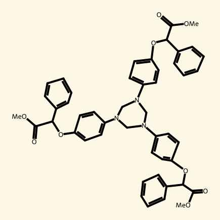 COC(=O)C(Oc1ccc(N2CN(c3ccc(OC(C(=O)OC)c4ccccc4)cc3)CN(c3ccc(OC(C(=O)OC)c4ccccc4)cc3)C2)cc1)c1ccccc1